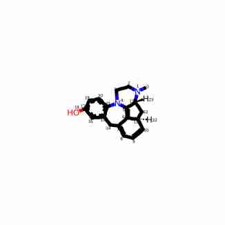 CN1CCN2C3=C4C(=CC=C[C@@H]4C[C@H]31)Cc1cc(O)ccc12